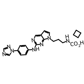 C1CCC1.O=C(O)NCCCn1ccc2cnc(Nc3ccc(-n4cncn4)cc3)nc21